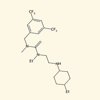 C=C(N(C)Cc1cc(C(F)(F)F)cc(C(F)(F)F)c1)N(CC)CCNC1CCC(CC)CC1